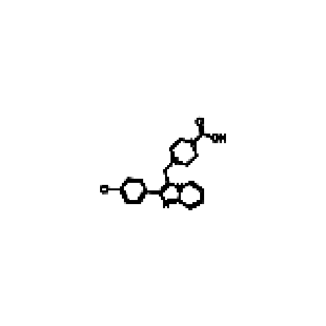 O=C(O)N1CCN(Cc2c(-c3ccc(Cl)cc3)nc3ccccn23)CC1